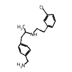 CC(Cc1ccc(CN)cc1)NCCc1cccc(Cl)c1